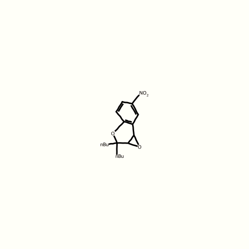 CCCCC1(CCCC)Oc2ccc([N+](=O)[O-])cc2C2OC21